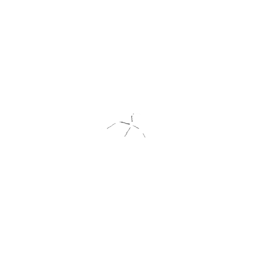 CCCCC[Si](C)(OCC)OCC